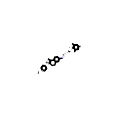 Cc1cc(Br)cc(C)c1NC(=O)NS/N=C/c1ccc2c(c1)CCc1c-2cnn1-c1ccc(OC(F)(F)F)cc1